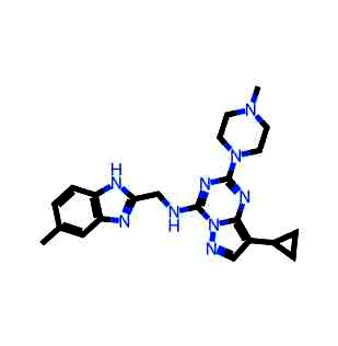 Cc1ccc2[nH]c(CNc3nc(N4CCN(C)CC4)nc4c(C5CC5)cnn34)nc2c1